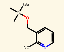 CC(C)(C)[Si](C)(C)OCc1cccnc1C#N